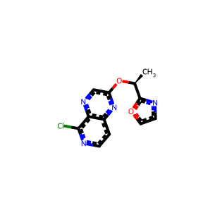 C[C@H](Oc1cnc2c(Cl)nccc2n1)c1ncco1